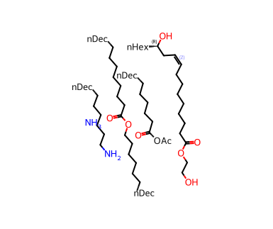 CCCCCCCCCCCCCCCC(=O)OC(C)=O.CCCCCCCCCCCCCCCCCC(=O)OCCCCCCCCCCCCCCCC.CCCCCCCCCCCCCCCCN.CCCCCC[C@@H](O)C/C=C\CCCCCCCC(=O)OCCO.N